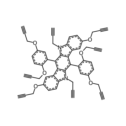 C#CCOc1ccc(OCC#C)c(-c2c3c4cc(OCC#C)ccc4n(CC#C)c3c(-c3cc(OCC#C)ccc3OCC#C)c3c4cc(OCC#C)ccc4n(CC#C)c23)c1